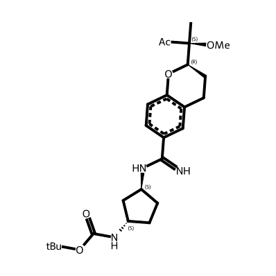 CO[C@](C)(C(C)=O)[C@H]1CCc2cc(C(=N)N[C@H]3CC[C@H](NC(=O)OC(C)(C)C)C3)ccc2O1